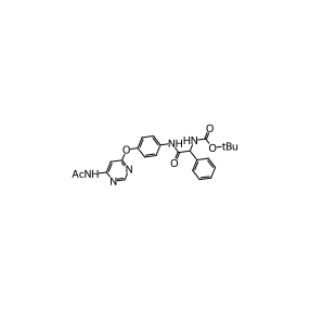 CC(=O)Nc1cc(Oc2ccc(NC(=O)C(NC(=O)OC(C)(C)C)c3ccccc3)cc2)ncn1